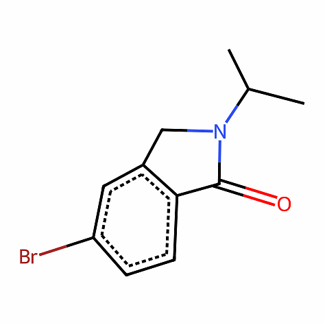 CC(C)N1Cc2cc(Br)ccc2C1=O